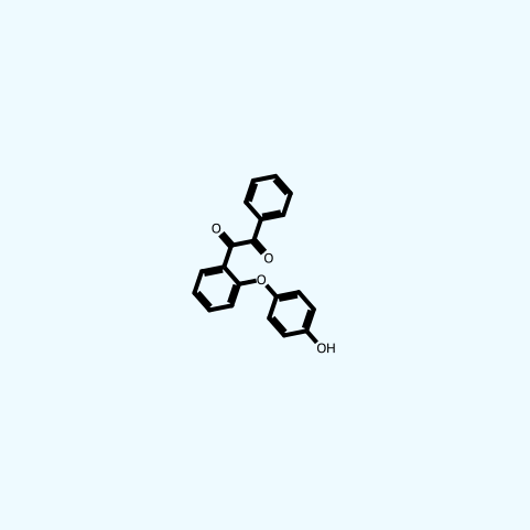 O=C(C(=O)c1ccccc1Oc1ccc(O)cc1)c1ccccc1